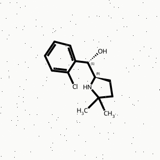 CC1(C)CC[C@H]([C@@H](O)c2ccccc2Cl)N1